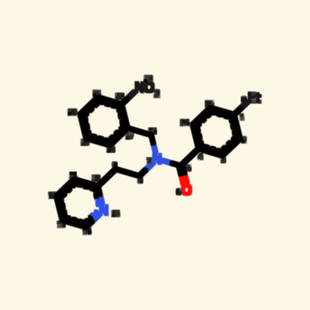 CCc1ccc(C(=O)N(CCc2ccccn2)Cc2ccccc2[N+](=O)[O-])cc1